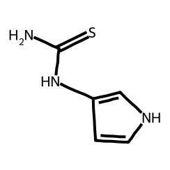 NC(=S)Nc1cc[nH]c1